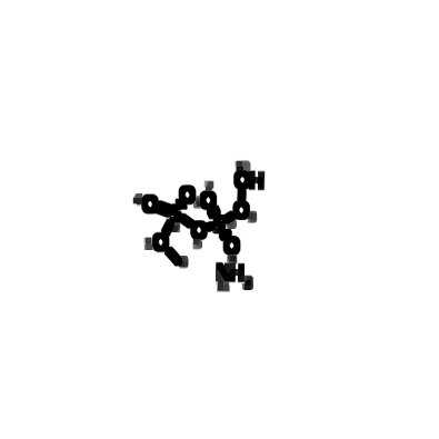 COS(=O)(=O)OS(=O)(=O)OO.N